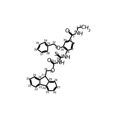 CCNC(=O)c1ccc(NC(=S)NC(=O)OCC2c3ccccc3-c3ccccc32)c(OCc2ccccc2)c1